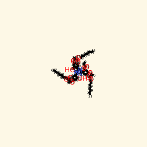 C=CC(=O)Oc1cc(OC(C)C(=O)OCCCCCCCC)ccc1-c1nc(-c2ccc(OC(C)C(=O)OCCCCCCCC)cc2O)nc(-c2ccc(OC(C)C(=O)OCCCCCCCC)cc2O)n1